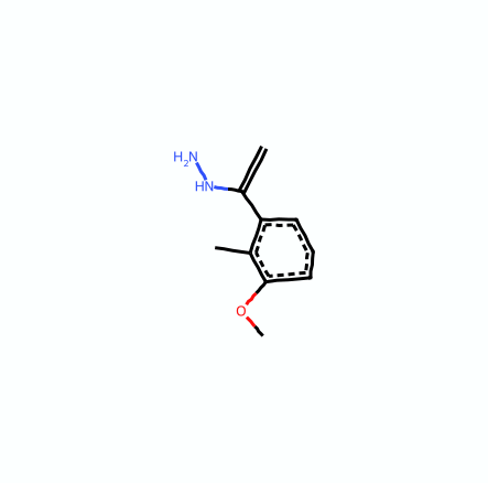 C=C(NN)c1cccc(OC)c1C